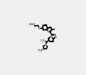 COCCOc1ccc2cc(F)c(-c3nnc4ccc([C@@H](N5CC[C@H](N)C5)C(F)(F)F)cn34)nc2c1